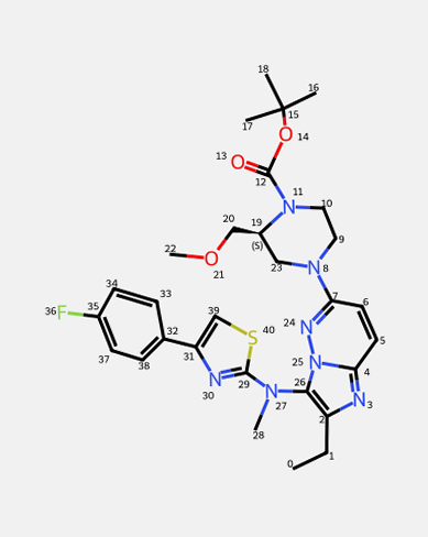 CCc1nc2ccc(N3CCN(C(=O)OC(C)(C)C)[C@H](COC)C3)nn2c1N(C)c1nc(-c2ccc(F)cc2)cs1